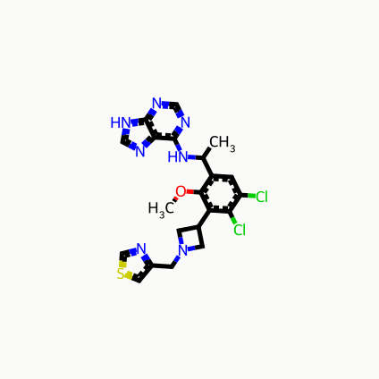 COc1c(C(C)Nc2ncnc3[nH]cnc23)cc(Cl)c(Cl)c1C1CN(Cc2cscn2)C1